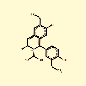 COc1cc(C2=c3cc(O)c(OC)cc3=CC(O)[C@@H]2C(O)O)ccc1O